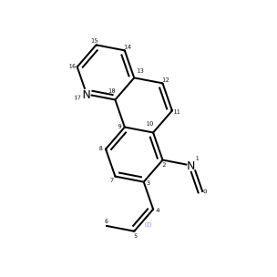 C=Nc1c(/C=C\C)ccc2c1ccc1cccnc12